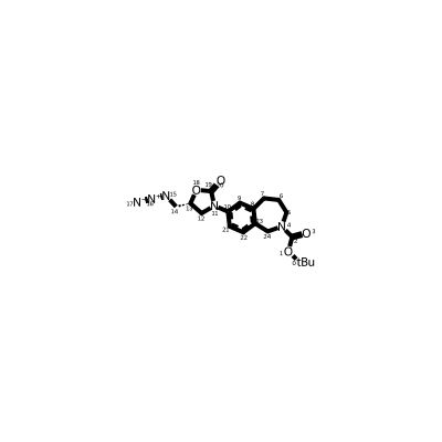 CC(C)(C)OC(=O)N1CCCc2cc(N3C[C@H](CN=[N+]=[N-])OC3=O)ccc2C1